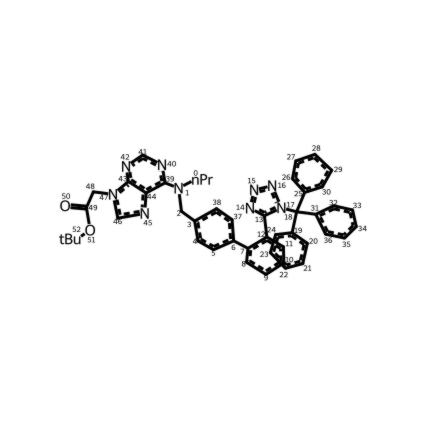 CCCN(Cc1ccc(-c2ccccc2-c2nnnn2C(c2ccccc2)(c2ccccc2)c2ccccc2)cc1)c1ncnc2c1ncn2CC(=O)OC(C)(C)C